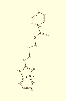 O=C(OCCCCc1nc2ccccc2s1)c1ccccc1